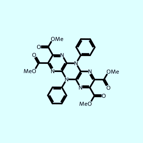 COC(=O)c1nc2c(nc1C(=O)OC)N(c1ccccc1)c1nc(C(=O)OC)c(C(=O)OC)nc1N2c1ccccc1